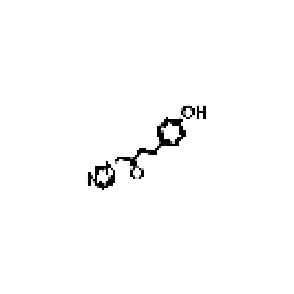 O=C(CCc1ccc(O)cc1)Cn1ccnc1